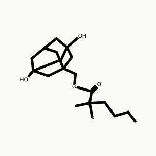 CCCCC(C)(F)C(=O)OCC12CC3CC(O)(CC(O)(C3)C1)C2